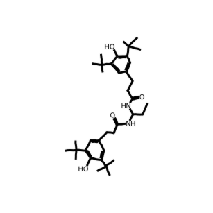 CCC(NC(=O)CCc1cc(C(C)(C)C)c(O)c(C(C)(C)C)c1)NC(=O)CCc1cc(C(C)(C)C)c(O)c(C(C)(C)C)c1